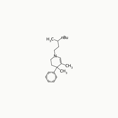 CCCCC(C)CCN1C=C(C)C(C)(c2ccccc2)CC1